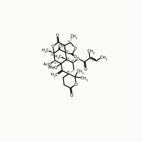 C=C1C2(OC)[C@@H](OC(C)=O)[C@]3(C)OC(=O)C4[C@H](C)OC(=O)[C@]4(C3=C)[C@]2(C)[C@@H](OC(=O)/C(C)=C/C)C[C@]12CCC(=O)OC2(C)C